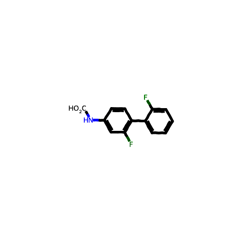 O=C(O)Nc1ccc(-c2ccccc2F)c(F)c1